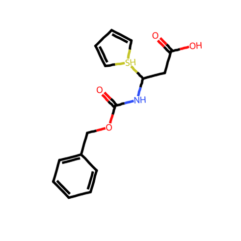 O=C(O)CC(NC(=O)OCc1ccccc1)[SH]1C=CC=C1